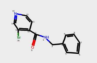 O=C(NCc1ccccc1)c1ccncc1Br